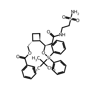 CC(C)(C)[Si](O[C@H](CC(=O)NCCS(N)(=O)=O)[C@@H]1CC[C@H]1COC(=O)c1ccccc1)(c1ccccc1)c1ccccc1